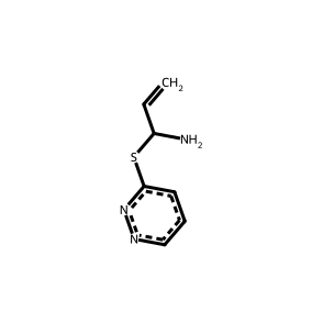 C=CC(N)Sc1cccnn1